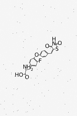 NC(Cc1ccc(Oc2ccc(/C=C3/SC(=O)NC3=O)cc2)c(F)c1)C(=O)O